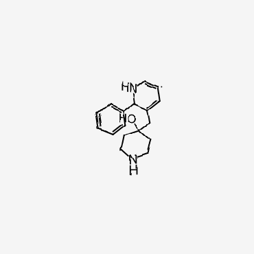 OC1(CC2=C[C]=CNC2c2ccccc2)CCNCC1